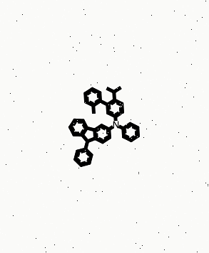 Cc1ccccc1-c1cc(N(c2ccccc2)c2ccc3c(c2)-c2ccccc2C3c2ccccc2)ccc1C(C)C